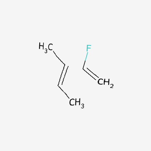 C=CF.CC=CC